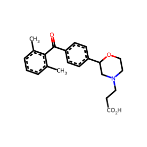 Cc1cccc(C)c1C(=O)c1ccc(C2CN(CCC(=O)O)CCO2)cc1